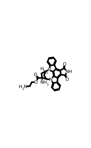 NCCOC(=O)[C@]1(N)C[C@@H]2CC1n1c3ccccc3c3c4c(c5c6ccccc6n2c5c31)C(=O)NC4=O